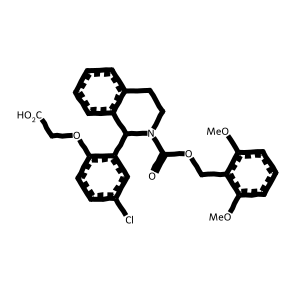 COc1cccc(OC)c1COC(=O)N1CCc2ccccc2C1c1cc(Cl)ccc1OCC(=O)O